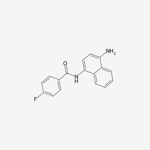 Nc1ccc(NC(=O)c2ccc(F)cc2)c2ccccc12